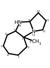 CC12CCCCCC1NC1CCCN12